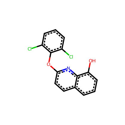 Oc1cccc2ccc(Oc3c(Cl)cccc3Cl)nc12